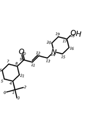 CC(C)(C)C1CCCC(C(=O)/C=C/CN2CCC(O)CC2)C1